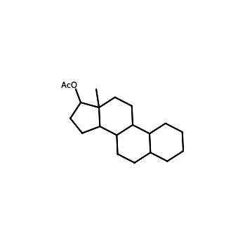 CC(=O)OC1CCC2C3CCC4CCCCC4C3CCC12C